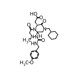 COc1ccc(CNC(=O)N2[C@H]3CN(CC4CCCCC4)C(=O)[C@H](CC(=O)O)N3C(=O)CN2C)cc1